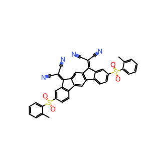 Cc1ccccc1S(=O)(=O)c1ccc2c(c1)C(=C(C#N)C#N)c1cc3c(cc1-2)-c1ccc(S(=O)(=O)c2ccccc2C)cc1C3=C(C#N)C#N